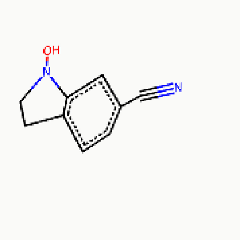 N#Cc1ccc2c(c1)N(O)CC2